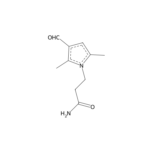 Cc1cc(C=O)c(C)n1CCC(N)=O